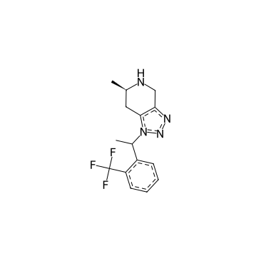 CC(c1ccccc1C(F)(F)F)n1nnc2c1C[C@@H](C)NC2